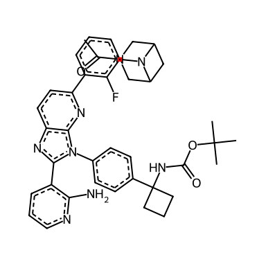 CC(=O)N1CC2CC(C1)N2c1cccc(-c2ccc3nc(-c4cccnc4N)n(-c4ccc(C5(NC(=O)OC(C)(C)C)CCC5)cc4)c3n2)c1F